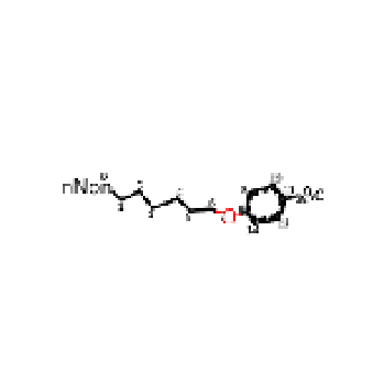 CCCCCCCCCCCCCCCOc1ccc(C(C)=O)cc1